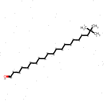 CC(C)(C)CCCCCCCCCCCCCCCCCC[C]=O